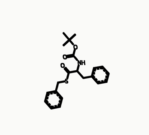 CC(C)(C)OC(=O)NC(Cc1ccccc1)C(=O)SCc1ccccc1